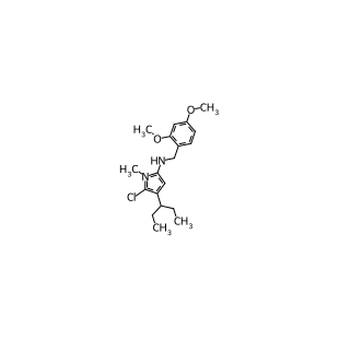 CCC(CC)c1cc(NCc2ccc(OC)cc2OC)n(C)c1Cl